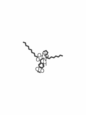 CCCCCCCCCC(=O)O[C@H](c1ccc2c(c1)OCCO2)[C@@H](CN1CCCC1)NC(=O)CCCCCCC